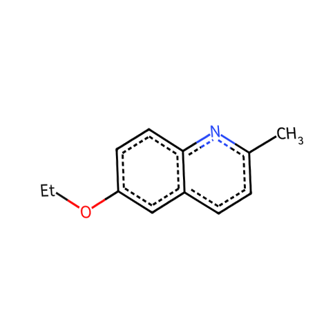 CCOc1ccc2nc(C)ccc2c1